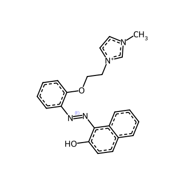 Cn1cc[n+](CCOc2ccccc2/N=N/c2c(O)ccc3ccccc23)c1